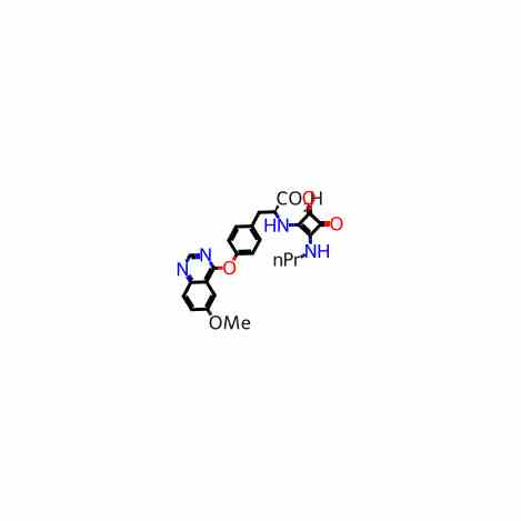 CCCNc1c(N[C@@H](Cc2ccc(Oc3ncnc4ccc(OC)cc34)cc2)C(=O)O)c(=O)c1=O